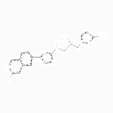 N[C@H](CNc1ncc(-c2ccc3cnc(F)cc3c2)s1)Cn1ccc(C(F)(F)F)n1